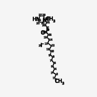 CCCCCCCCCCCCCCCCCC(=O)SCC[N+]1(C)CCNCC1.[I-]